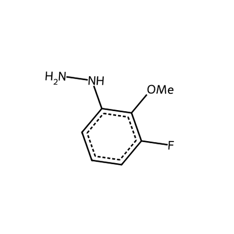 COc1c(F)cccc1NN